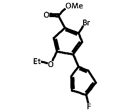 CCOc1cc(C(=O)OC)c(Br)cc1-c1ccc(F)cc1